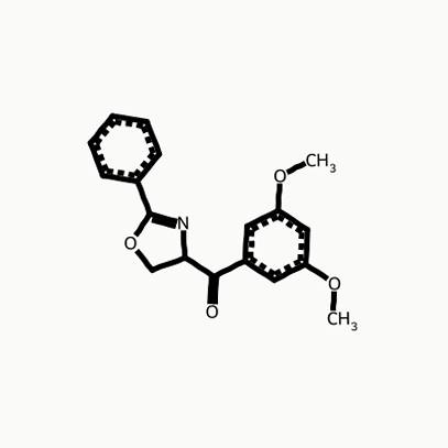 COc1cc(OC)cc(C(=O)C2COC(c3ccccc3)=N2)c1